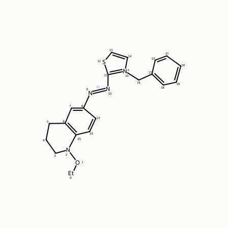 CCON1CCCc2cc(/N=N/c3scc[n+]3Cc3ccccc3)ccc21